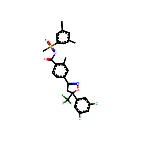 Cc1cc(C)cc(S(C)(=O)=NC(=O)c2ccc(C3=NOC(c4cc(Cl)cc(Cl)c4)(C(F)(F)F)C3)cc2C)c1